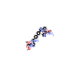 COC(=O)N[C@H](C(=O)N1CCC[C@H]1c1ncc(-c2ccc(-c3ccc(-c4cnc([C@@H]5CCCN5C(=O)[C@H](Cn5cccn5)OC(N)=O)[nH]4)cc3)cc2)[nH]1)[C@@H](C)OC